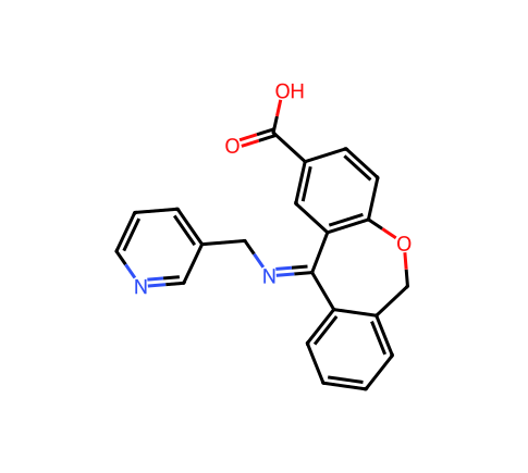 O=C(O)c1ccc2c(c1)C(=NCc1cccnc1)c1ccccc1CO2